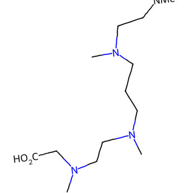 CNCCN(C)CCCN(C)CCN(C)CC(=O)O